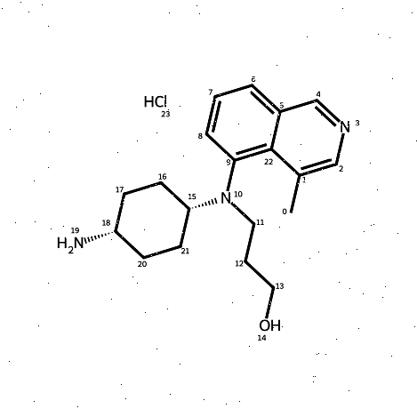 Cc1cncc2cccc(N(CCCO)[C@H]3CC[C@@H](N)CC3)c12.Cl